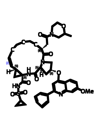 COc1ccc2c(O[C@@H]3C[C@H]4C(=O)N[C@]5(C(=O)NS(=O)(=O)C6CC6)C[C@H]5/C=C\CCCCC[C@H](CC(=O)N5CCOC(C)C5)C(=O)N4C3)cc(-c3ccccc3)nc2c1